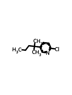 CCCC(C)(C)c1ccc(Cl)nc1